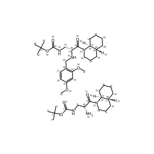 CC(C)(C)OC(=O)NC[C@@H](N)C(=O)N1CCC[C@H]2CCCC[C@@H]21.COc1ccc(CN[C@H](CNC(=O)OC(C)(C)C)C(=O)N2CCC[C@H]3CCCC[C@@H]32)c(OC)c1